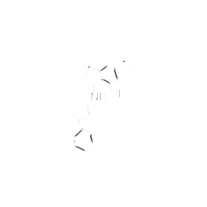 CC(C)(C)c1cc(O)c(CNCCCc2ccccc2)c(C(C)(C)C)c1